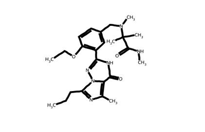 CCCc1nc(C)c2c(=O)[nH]c(-c3cc(CN(C)C(C)(C)C(=O)NC)ccc3OCC)nn12